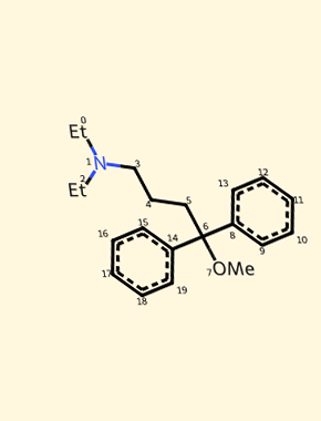 CCN(CC)CCCC(OC)(c1ccccc1)c1ccccc1